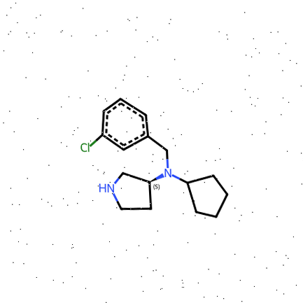 Clc1cccc(CN(C2CCCC2)[C@H]2CCNC2)c1